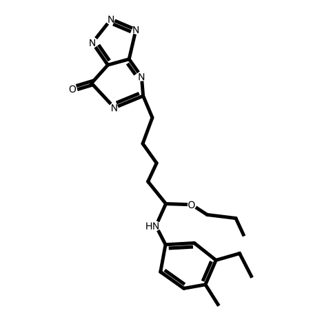 CCCOC(CCCCC1=NC(=O)C2=NN=NC2=N1)Nc1ccc(C)c(CC)c1